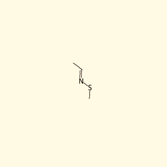 CC=NSC